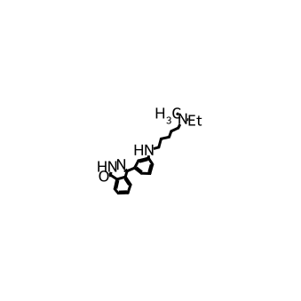 CCN(C)CCCCCNc1cccc(-c2n[nH]c(=O)c3ccccc23)c1